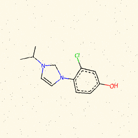 CC(C)N1C=CN(c2ccc(O)cc2Cl)C1